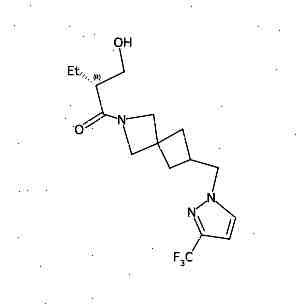 CC[C@H](CO)C(=O)N1CC2(CC(Cn3ccc(C(F)(F)F)n3)C2)C1